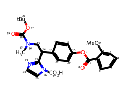 COc1ccccc1C(=O)Oc1ccc(C(CN(C)C(=O)OC(C)(C)C)c2nccn2C(=O)O)cc1